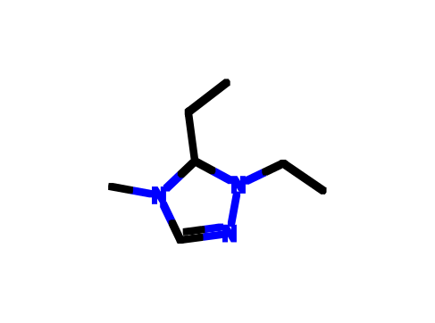 CCC1N(C)C=NN1CC